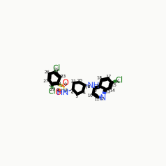 O=S(=O)(N[C@H]1CC[C@@H](Nc2ccnc3cc(Cl)ccc23)CC1)c1cc(Cl)ccc1Cl